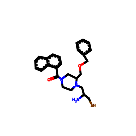 NC(CS)CN1CCN(C(=O)c2cccc3ccccc23)CC1COCc1ccccc1